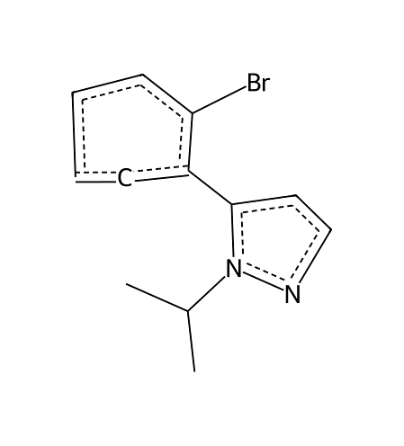 CC(C)n1nccc1-c1ccccc1Br